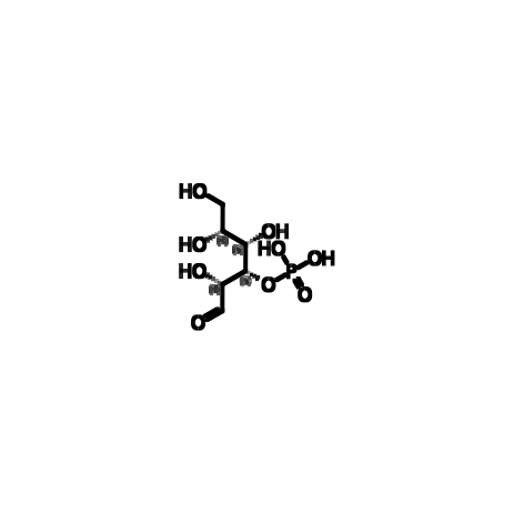 O=C[C@H](O)[C@@H](OP(=O)(O)O)[C@@H](O)[C@H](O)CO